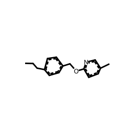 CCCc1ccc(COc2ccc(C)cn2)cc1